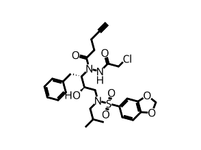 C#CCCC(=O)N(NC(=O)CCl)[C@@H](Cc1ccccc1)[C@H](O)CN(CC(C)C)S(=O)(=O)c1ccc2c(c1)OCO2